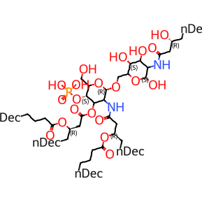 CCCCCCCCCCCCCC(=O)O[C@H](CCCCCCCCCCC)CC(=O)NC1C(OC(=O)C[C@@H](CCCCCCCCCCC)OC(=O)CCCCCCCCCCCCC)[C@H](OP(=O)(O)O)C(CO)O[C@H]1OCC1O[C@H](O)C(NC(=O)C[C@H](O)CCCCCCCCCCC)C(O)[C@@H]1O